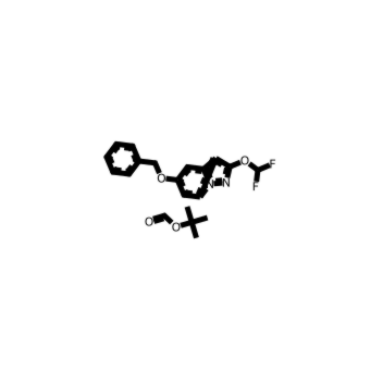 CC(C)(C)OC=O.FC(F)Oc1nn2c3cc(OCc4ccccc4)cc2c13